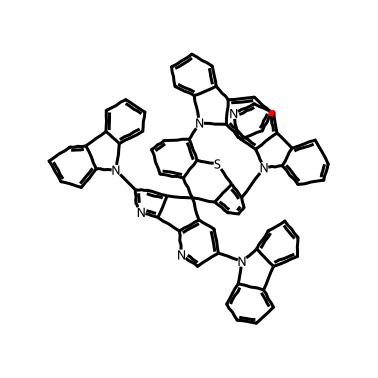 c1cc(-n2c3ccccc3c3ccccc32)c2c(c1)C1(c3cc(-n4c5ccccc5c5ccccc54)cnc3-c3ncc(-n4c5ccccc5c5ccccc54)cc31)c1cccc(-n3c4ccccc4c4ccncc43)c1S2